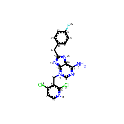 Nc1ncn(Cc2c(Cl)ccnc2Cl)c2nc(Cc3ccc(F)cc3)nc1-2